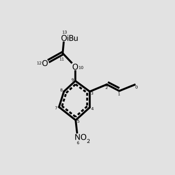 CC=Cc1cc([N+](=O)[O-])ccc1OC(=O)OCC(C)C